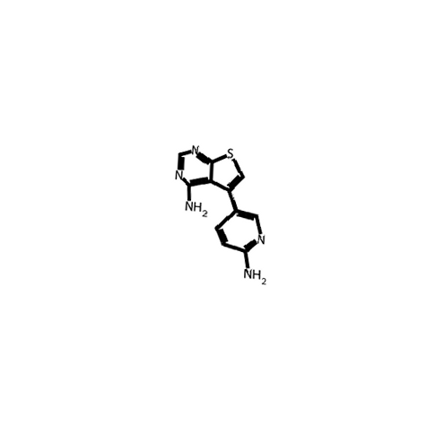 Nc1ccc(-c2csc3ncnc(N)c23)cn1